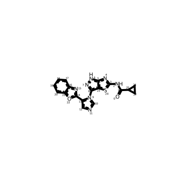 O=C(Nc1nc2[nH]nc(-n3cncc3-c3nc4ccccc4o3)c2s1)C1CC1